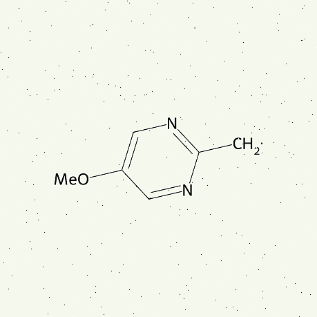 [CH2]c1ncc(OC)cn1